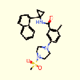 Cc1ccc(N2CCN(S(C)(=O)=O)CC2)cc1C(=O)NC1(c2cccc3ccccc23)CC1